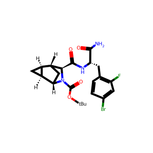 CC(C)(C)OC(=O)N1[C@H](C(=O)N[C@@H](Cc2ccc(Br)cc2F)C(N)=O)[C@@H]2C[C@H]1[C@H]1C[C@@H]21